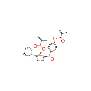 C=C(C)C(=O)Oc1ccc(C(=O)c2ccc(-c3ccccc3)s2)c(OC(=O)C(=C)C)c1